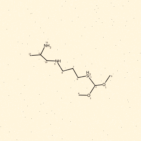 COC(OC)[SiH2]CCCNCC(C)N